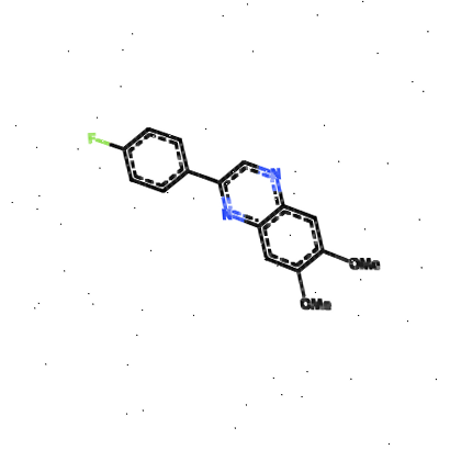 COc1cc2ncc(-c3ccc(F)cc3)nc2cc1OC